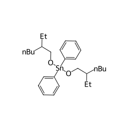 CCCCC(CC)C[O][Sn]([O]CC(CC)CCCC)([c]1ccccc1)[c]1ccccc1